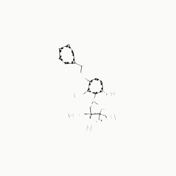 CCc1c(OCc2ccccc2)ccc(C)c1B1OC(C)(C)C(C)(C)O1